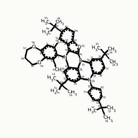 Cc1cc2c(c(C)c1N1c3cc(C(C)(C)C)cc4c3B(c3cc(C(C)(C)C)ccc3N4c3ccc(C(C)(C)C)cc3)c3oc4ccc(C(C)(C)C)cc4c31)OCCCO2